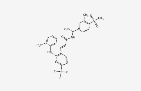 Cc1ccccc1Nc1nc(C(F)(F)F)ccc1C=CC(=O)NC(N)c1ccc(S(C)(=O)=O)c(C)c1